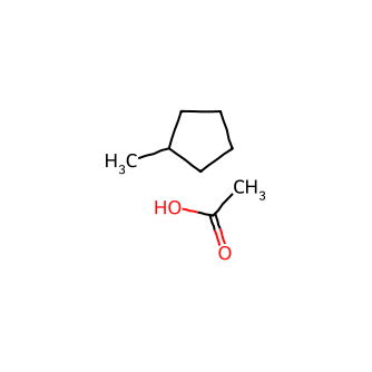 CC(=O)O.CC1CCCC1